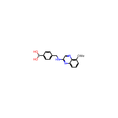 COc1cccc2nc(NCc3ccc(B(O)O)cc3)cnc12